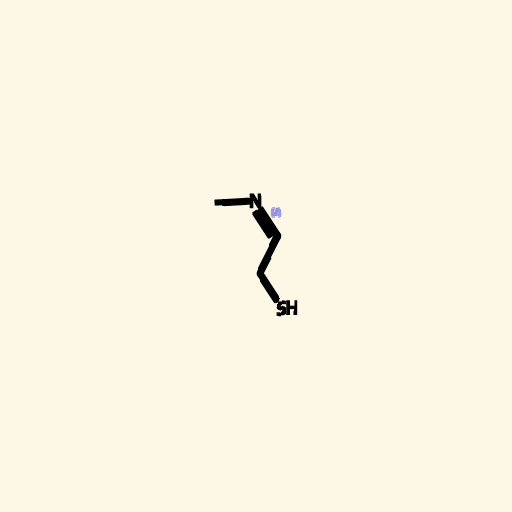 C/N=C\CS